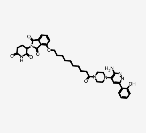 Nc1nnc(-c2ccccc2O)cc1N1CCN(C(=O)CCCCCCCCCOc2cccc3c2C(=O)N(C2CCC(=O)NC2=O)C3=O)CC1